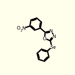 O=[N+]([O-])c1cccc(-c2nnc([Se]c3ccccc3)o2)c1